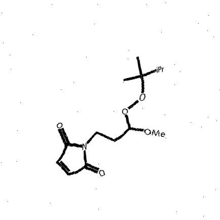 COC(CCN1C(=O)C=CC1=O)OOC(C)(C)C(C)C